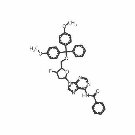 COc1ccc(C(OCC2OC(n3cnc4c(NC(=O)c5ccccc5)ncnc43)CC2F)(c2ccccc2)c2ccc(OC)cc2)cc1